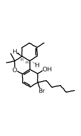 CCCCCC1(Br)C=CC2=C(C1O)[C@@H]1C=C(C)CC[C@H]1C(C)(C)O2